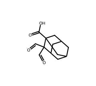 O=CC1(C=O)C2CC3CC(C2)CC1(C(=O)O)C3